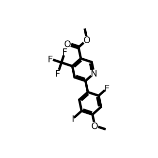 COC(=O)c1cnc(-c2cc(I)c(OC)cc2F)cc1C(F)(F)F